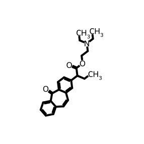 CCC(C(=O)OCCN(CC)CC)c1ccc2c(=O)c3ccccc3ccc2c1